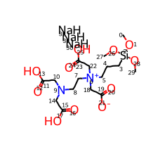 CO[Si](CCC[N+](CCN(CC(=O)O)CC(=O)O)(CC(=O)[O-])CC(=O)O)(OC)OC.[NaH].[NaH].[NaH]